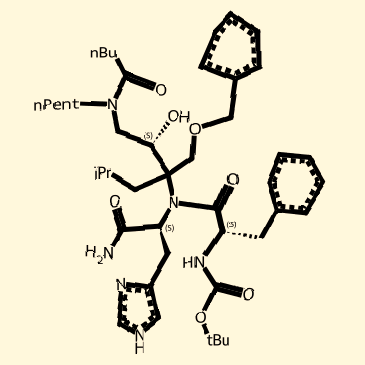 CCCCCN(C[C@H](O)C(COCc1ccccc1)(CC(C)C)N(C(=O)[C@H](Cc1ccccc1)NC(=O)OC(C)(C)C)[C@@H](Cc1c[nH]cn1)C(N)=O)C(=O)CCCC